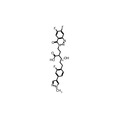 Cn1cc(-c2ccc(CC[C@@H](O)C(CCn3nnc4cc(F)c(F)cc4c3=O)C(=O)O)c(F)c2)cn1